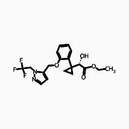 CCOC(=O)[C@@H](O)C1(c2ccccc2OCc2ccnn2CC(F)(F)F)CC1